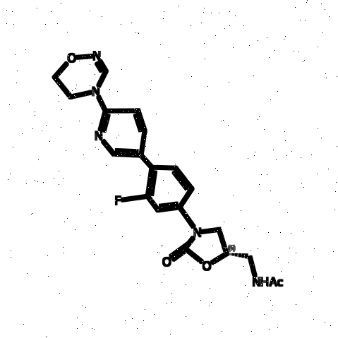 CC(=O)NC[C@H]1CN(c2ccc(-c3ccc(N4C=NOCC4)nc3)c(F)c2)C(=O)O1